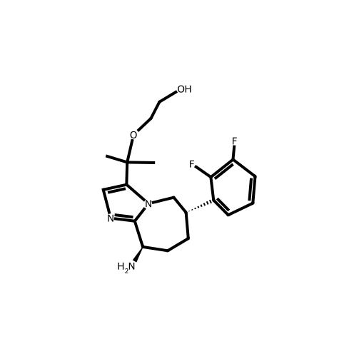 CC(C)(OCCO)c1cnc2n1C[C@H](c1cccc(F)c1F)CC[C@H]2N